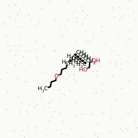 C=C.C=C.C=C.C=C.C=C.C=C.CCCCOCCCC.OCCO